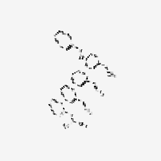 C=Cc1ccccc1.C=Cc1ccccc1.C=Cc1ccccc1.C=Cc1ccccc1.CC(C)=Cc1ccccc1